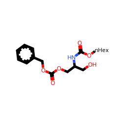 CCCCCCOC(=O)NC(CO)COC(=O)OCc1ccccc1